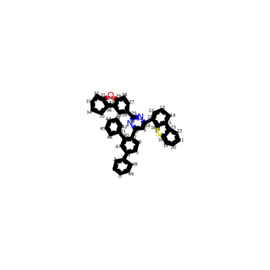 c1ccc(-c2ccc(-c3cc(-c4cccc5c4sc4ccccc45)nc(-c4ccc5oc6ccccc6c5c4)n3)c(-c3ccccc3)c2)cc1